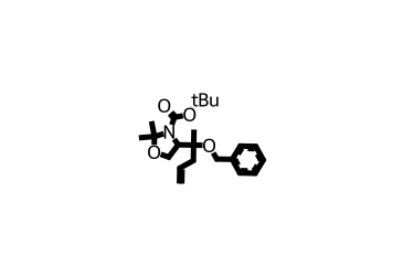 C=CCC(C)(OCc1ccccc1)C1COC(C)(C)N1C(=O)OC(C)(C)C